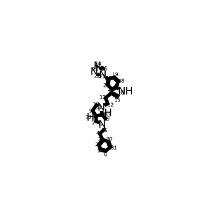 c1ccc(CCN2C[C@H]3CCN(CCc4c[nH]c5ccc(-n6cnnc6)cc45)[C@H]3C2)cc1